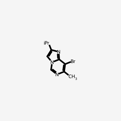 Cc1ncn2cc(C(C)C)nc2c1Br